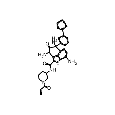 C=CC(=O)N1CCCC(NC(=O)c2sc3c(N)ccc4c3c2C(N)C(=O)C4(N)c2cccc(-c3ccccc3)c2)C1